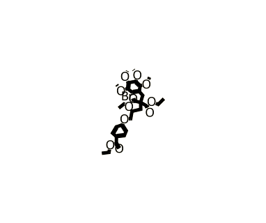 CCOC(=O)c1ccc(OCCCC(Cc2c(Br)c(OC)c(OC)c(OC)c2OC)(C(=O)OCC)C(=O)OCC)cc1